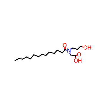 CCCCCCCCCCCCCC(=O)N(CCCO)CC(=O)O